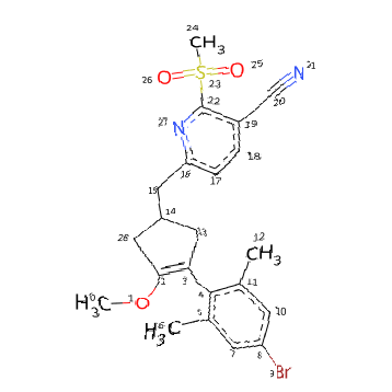 COC1=C(c2c(C)cc(Br)cc2C)CC(Cc2ccc(C#N)c(S(C)(=O)=O)n2)C1